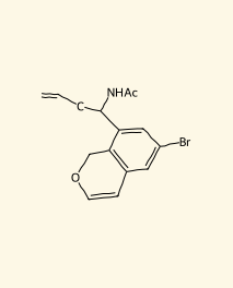 C=CCC(NC(C)=O)c1cc(Br)cc2c1COC=C2